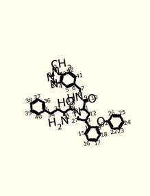 Cn1nnc2cc(CNC(=O)C3CC(c4ccccc4Oc4ccccc4)CN3C(O)C(N)CCc3ccccc3)ccc21